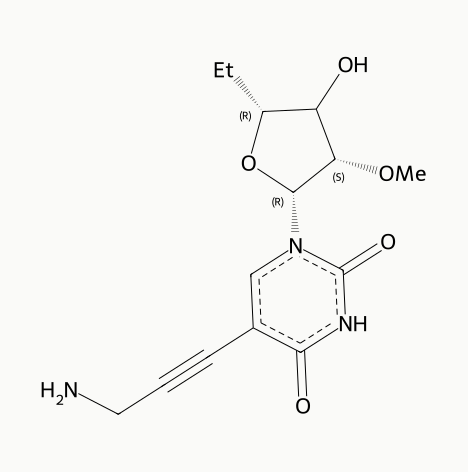 CC[C@H]1O[C@@H](n2cc(C#CCN)c(=O)[nH]c2=O)[C@@H](OC)C1O